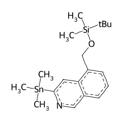 CC(C)(C)[Si](C)(C)OCc1cccc2cn[c]([Sn]([CH3])([CH3])[CH3])cc12